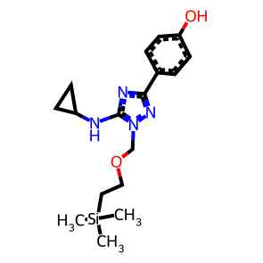 C[Si](C)(C)CCOCn1nc(-c2ccc(O)cc2)nc1NC1CC1